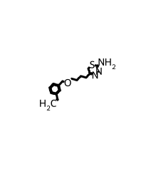 C=Cc1cccc(COCCCCC2=NN=C(N)SC2)c1